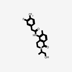 Cc1ccc2c(c1NC(=O)Cc1ccc(C(F)(F)F)c(F)c1)CCN(C(C)CO)C2=O